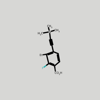 CCc1c(C#C[Si](C)(C)C)ccc(C(=O)O)c1F